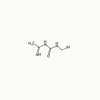 [2H]CNC(=O)NC(C)=N